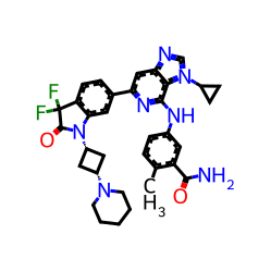 Cc1ccc(Nc2nc(-c3ccc4c(c3)N([C@H]3C[C@@H](N5CCCCC5)C3)C(=O)C4(F)F)cc3ncn(C4CC4)c23)cc1C(N)=O